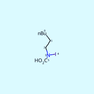 CCCCCCN(I)C(=O)O